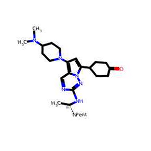 CCCCC[C@H](C)Nc1ncc2c(N3CCC(N(C)C)CC3)cc(C3CCC(=O)CC3)n2n1